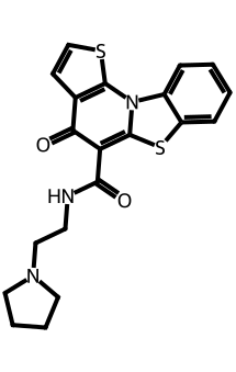 O=C(NCCN1CCCC1)c1c(=O)c2ccsc2n2c1sc1ccccc12